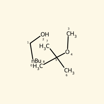 CCCCCO.COC(C)(C)C